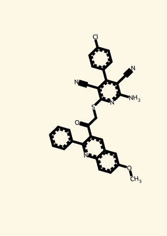 COc1ccc2nc(-c3ccccc3)c(C(=O)CSc3nc(N)c(C#N)c(-c4ccc(Cl)cc4)c3C#N)cc2c1